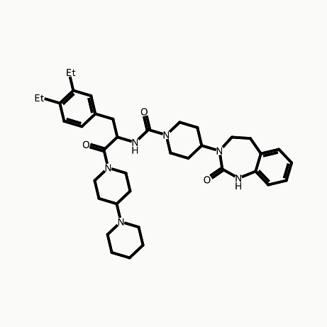 CCc1ccc(CC(NC(=O)N2CCC(N3CCc4ccccc4NC3=O)CC2)C(=O)N2CCC(N3CCCCC3)CC2)cc1CC